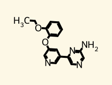 CCOc1ccccc1Oc1cncc(-c2cncc(N)n2)c1